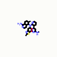 CNc1cc(-c2cccnc2N(c2ccc3sc(C)nc3c2)c2c(C)ccc3c(N)nccc23)ncn1